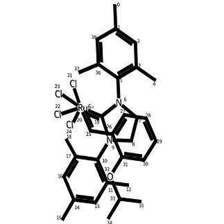 Cc1cc(C)c(N2CCN(c3c(C)cc(C)cc3C)[C]2=[Ru-6]([Cl])([Cl])([Cl])([Cl])=[CH]c2ccccc2OC(C)C)c(C)c1